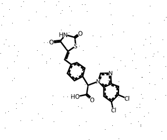 O=C1NC(=O)C(=Cc2ccc(C(C(=O)O)n3cnc4cc(Cl)c(Cl)cc43)cc2)S1